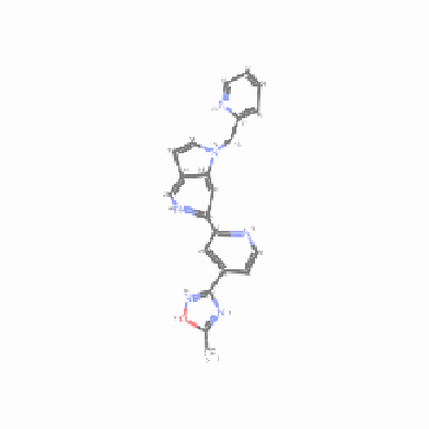 FC(F)(F)c1nc(-c2ccnc(-c3cc4c(ccn4Cc4ccccn4)cn3)c2)no1